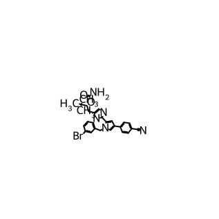 CC(C)(C)C(Cc1cnc2n1-c1ccc(Br)cc1Cn1cc(-c3ccc(C#N)cc3)cc1-2)OC(N)=O